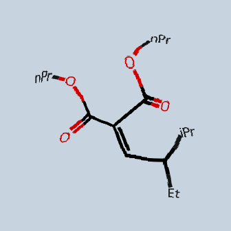 CCCOC(=O)C(=CC(CC)C(C)C)C(=O)OCCC